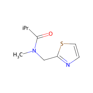 CC(C)C(=O)N(C)Cc1nccs1